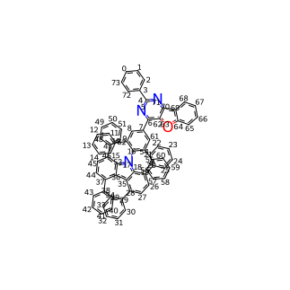 c1ccc(-c2nc(-c3cc(-c4ccccc4)c(-n4c5c(-c6ccccc6)ccc(-c6ccccc6)c5c5c(-c6ccccc6)ccc(-c6ccccc6)c54)c(-c4ccccc4)c3)c3oc4ccccc4c3n2)cc1